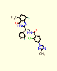 Cc1ncn(-c2ccc(C(=O)NC[C@@H](c3cccc(F)c3)c3nc4c(F)ccc(C)c4c(=O)[nH]3)c(Cl)c2)n1